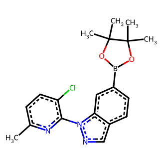 Cc1ccc(Cl)c(-n2ncc3ccc(B4OC(C)(C)C(C)(C)O4)cc32)n1